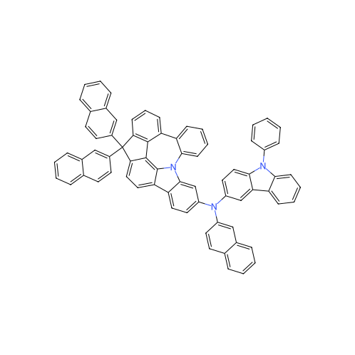 c1ccc(-n2c3ccccc3c3cc(N(c4ccc5ccccc5c4)c4ccc5c6ccc7c8c6n(c5c4)-c4ccccc4-c4cccc(c4-8)C7(c4ccc5ccccc5c4)c4ccc5ccccc5c4)ccc32)cc1